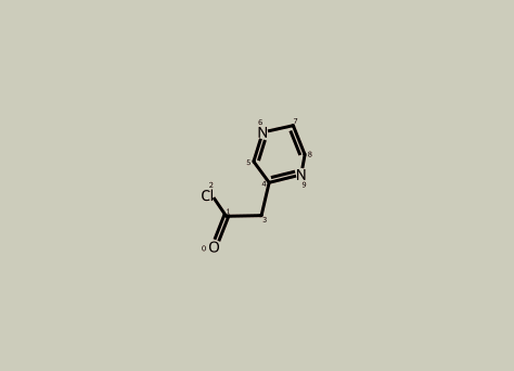 O=C(Cl)Cc1cnccn1